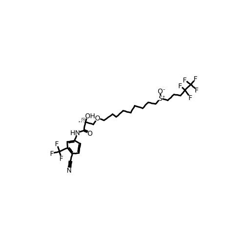 C[C@](O)(COCCCCCCCCC[S+]([O-])CCCC(F)(F)C(F)(F)F)C(=O)Nc1ccc(C#N)c(C(F)(F)F)c1